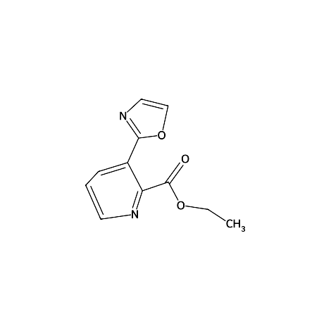 CCOC(=O)c1ncccc1-c1ncco1